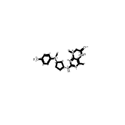 Cc1nc(N[C@@H]2CC[C@@H](N(C)c3ccc(C(F)(F)F)cc3)C2)nc2c1NC(=O)CN2C